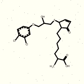 CC(CCCCCC1C(=O)C=CC1SCC(O)COc1ccc(Cl)c(Cl)c1)C(=O)O